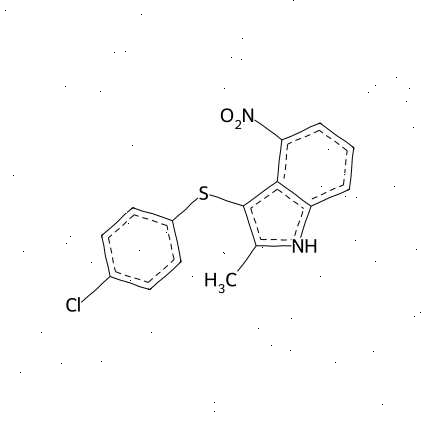 Cc1[nH]c2cccc([N+](=O)[O-])c2c1Sc1ccc(Cl)cc1